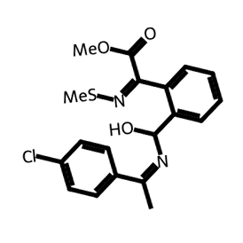 COC(=O)C(=NSC)c1ccccc1C(O)N=C(C)c1ccc(Cl)cc1